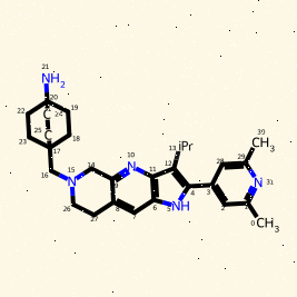 Cc1cc(-c2[nH]c3cc4c(nc3c2C(C)C)CN(CC23CCC(N)(CC2)CC3)CC4)cc(C)n1